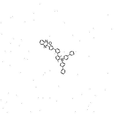 Cc1ccc(-c2cccc(-c3ccc4c(c3)oc3nc5ccccc5nc34)c2)c(C)c1B(c1ccc(-c2ccccc2)cc1)c1ccc(-c2ccccc2)cc1